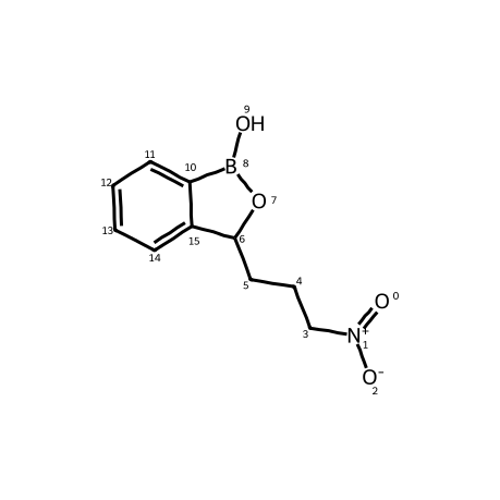 O=[N+]([O-])CCCC1OB(O)c2ccccc21